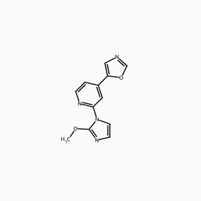 COc1nccn1-c1cc(-c2cnco2)ccn1